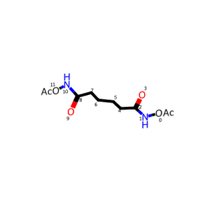 CC(=O)ONC(=O)CCCCC(=O)NOC(C)=O